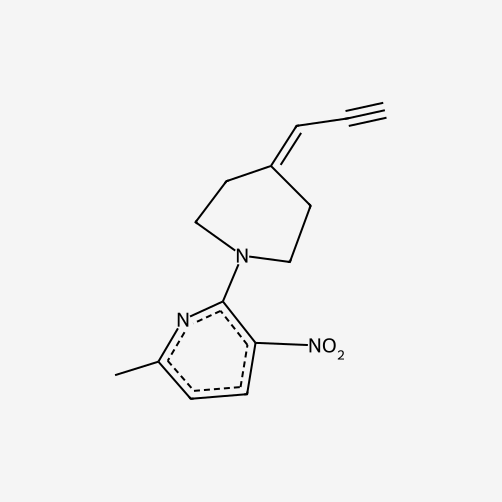 C#CC=C1CCN(c2nc(C)ccc2[N+](=O)[O-])CC1